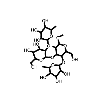 COC1OC(CO)C(OC2OC(C)C(O)C(O)C2O)C(OC2OC(CO)C(O)C(O)C2OC2OC(C)C(O)C(O)C2O)C1C